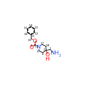 NCC1(O)CCN(C(=O)OCc2ccccc2)CC1